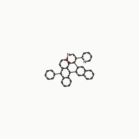 c1ccc(-c2c3ccccc3c(-c3cc4ccccc4cc3-c3ccncc3-c3ccccn3)c3ccccc23)cc1